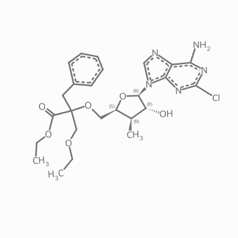 CCOCC(Cc1ccccc1)(OC[C@H]1O[C@@H](n2cnc3c(N)nc(Cl)nc32)[C@H](O)[C@H]1C)C(=O)OCC